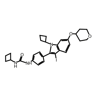 O=C(Nc1ccc(-c2c(I)c3ccc(OC4CCOCC4)cc3n2C2CCC2)cc1)NC1CCC1